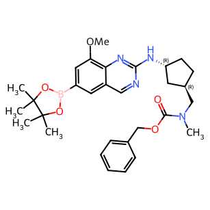 COc1cc(B2OC(C)(C)C(C)(C)O2)cc2cnc(N[C@@H]3CC[C@@H](CN(C)C(=O)OCc4ccccc4)C3)nc12